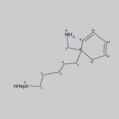 CCCCCCCCCCCCC1(CN)C=CC=CC1